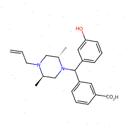 C=CCN1C[C@H](C)N(C(c2cccc(O)c2)c2cccc(C(=O)O)c2)C[C@H]1C